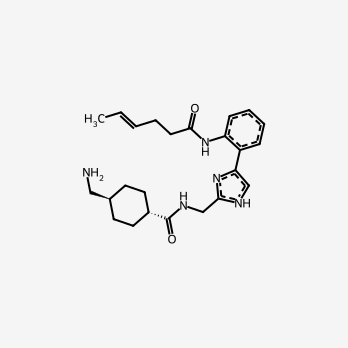 C/C=C/CCC(=O)Nc1ccccc1-c1c[nH]c(CNC(=O)[C@H]2CC[C@H](CN)CC2)n1